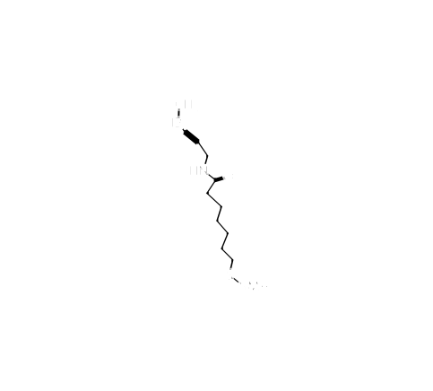 CBC#CCNC(=O)CCCCCCSSC